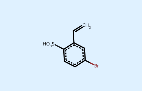 C=Cc1cc(Br)ccc1S(=O)(=O)O